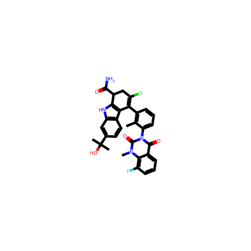 Cc1c(C2=C(Cl)CC(C(N)=O)c3[nH]c4cc(C(C)(C)O)ccc4c32)cccc1-n1c(=O)c2cccc(F)c2n(C)c1=O